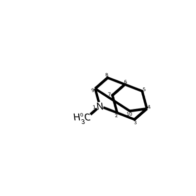 CN1C2CC3CC(C2)CC1C3